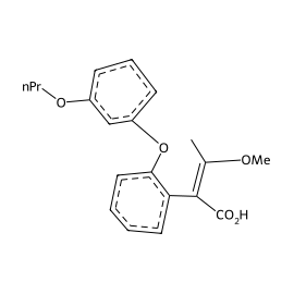 CCCOc1cccc(Oc2ccccc2C(C(=O)O)=C(C)OC)c1